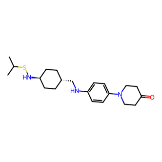 CC(C)SN[C@H]1CC[C@H](CNc2ccc(N3CCC(=O)CC3)cc2)CC1